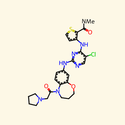 CNC(=O)c1sccc1Nc1nc(Nc2ccc3c(c2)OCCCN3C(=O)CN2CCCC2)ncc1Cl